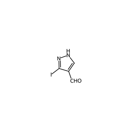 O=Cc1c[nH]nc1I